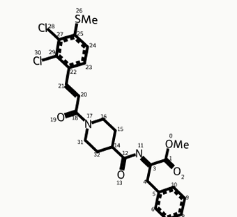 COC(=O)/C(Cc1ccccc1)=N/C(=O)C1CCN(C(=O)/C=C/c2ccc(SC)c(Cl)c2Cl)CC1